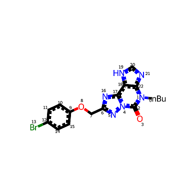 CCCCn1c(=O)n2nc(COc3ccc(Br)cc3)nc2c2[nH]cnc21